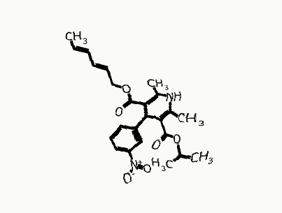 CC=CC=CCOC(=O)C1=C(C)NC(C)=C(C(=O)OC(C)C)C1c1cccc([N+](=O)[O-])c1